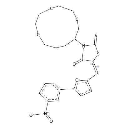 O=C1/C(=C\c2ccc(-c3cccc([N+](=O)[O-])c3)o2)SC(=S)N1C1CCCCCCCCCCC1